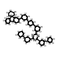 c1ccc(-c2cccc(-c3nc(-c4cccc(-c5ccccc5)c4)nc(-c4cccc(-c5ccc(-c6cccc(-c7ccc8c(c7)C7(CCCCC7)c7ccccc7-8)c6)cc5)c4)n3)c2)cc1